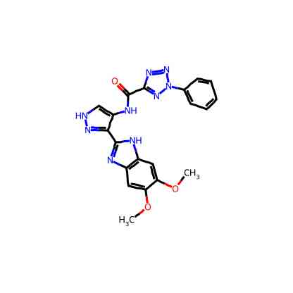 COc1cc2nc(-c3n[nH]cc3NC(=O)c3nnn(-c4ccccc4)n3)[nH]c2cc1OC